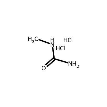 CNC(N)=O.Cl.Cl